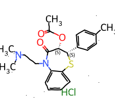 CC(=O)O[C@H]1C(=O)N(CCN(C)C)c2ccccc2S[C@H]1c1ccc(C)cc1.Cl